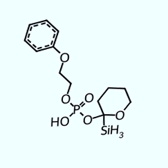 O=P(O)(OCCOc1ccccc1)OC1([SiH3])CCCCO1